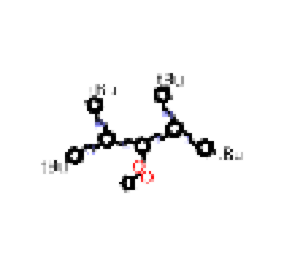 CC(C)(C)c1ccc(/C=C/c2cc(/C=C/c3ccc(C(C)(C)C)cc3)cc(/C=C/c3cc(/C=C/c4cc(/C=C/c5ccc(C(C)(C)C)cc5)cc(/C=C/c5ccc(C(C)(C)C)cc5)c4)cc(COC(=O)C4=CC=CC4)c3)c2)cc1